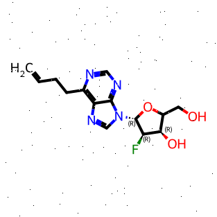 C=CCCc1ncnc2c1ncn2[C@@H]1OC(CO)[C@@H](O)[C@H]1F